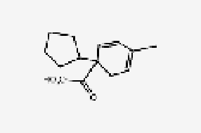 CC1=CCC(C(=O)C(=O)O)(C2CCCC2)C=C1